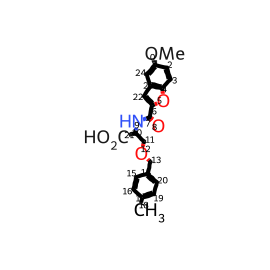 COc1ccc2oc(C(=O)NC(COCc3ccc(C)cc3)C(=O)O)cc2c1